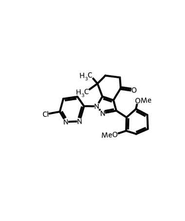 COc1cccc(OC)c1-c1nn(-c2ccc(Cl)nn2)c2c1C(=O)CCC2(C)C